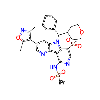 Cc1noc(C)c1-c1cnc2c3c(NS(=O)(=O)C(C)C)ncc(S(C)(=O)=O)c3n([C@H](c3ccccc3)C3CCOCC3)c2c1